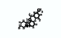 Cc1cc(C(C)OC[C@@]2(c3ccccc3)CCC(C)CN2)cc(C(F)(F)F)c1